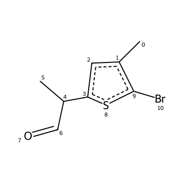 Cc1cc(C(C)C=O)sc1Br